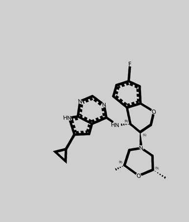 C[C@@H]1CN([C@@H]2COc3cc(F)ccc3[C@H]2Nc2ncnc3[nH]c(C4CC4)cc23)C[C@H](C)O1